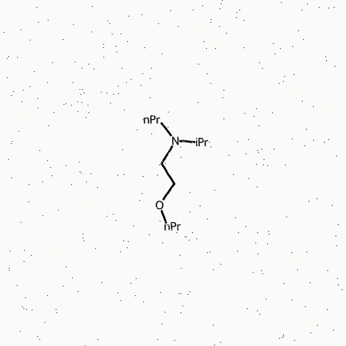 CCCOCCN(CCC)C(C)C